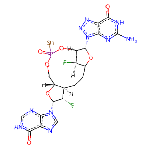 Nc1nc2c(nnn2[C@@H]2OC3CC[C@H]4[C@H](F)[C@H](n5cnc6c(=O)[nH]cnc65)O[C@@H]4COP(=O)(S)O[C@@H]2[C@@H]3F)c(=O)[nH]1